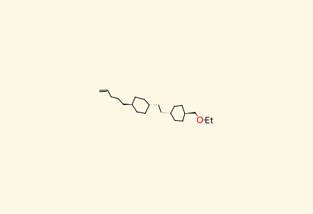 C=CCCC[C@H]1CC[C@H](CC[C@H]2CC[C@H](COCC)CC2)CC1